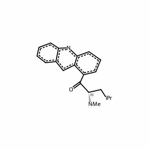 CN[C@@H](CC(C)C)C(=O)c1cccc2nc3ccccc3cc12